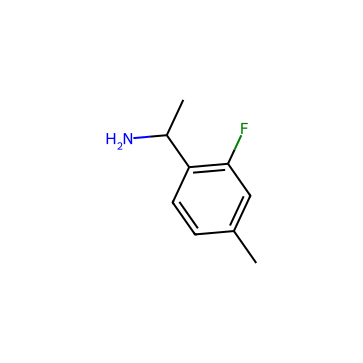 Cc1ccc(C(C)N)c(F)c1